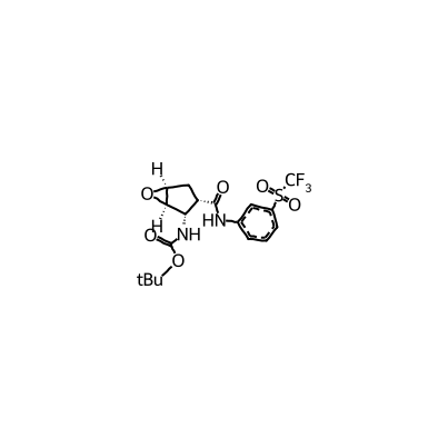 CC(C)(C)OC(=O)N[C@@H]1[C@H]2O[C@H]2C[C@@H]1C(=O)Nc1cccc(S(=O)(=O)C(F)(F)F)c1